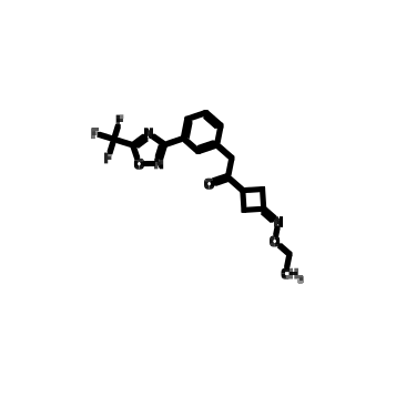 CCON=C1CC(C(=O)Cc2cccc(-c3noc(C(F)(F)F)n3)c2)C1